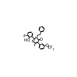 Cc1nc(-c2cccc(F)c2O)n(CCc2ccccc2)c(=O)c1-c1cccc(OC(F)(F)F)c1